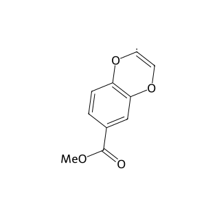 COC(=O)c1ccc2c(c1)OC=[C]O2